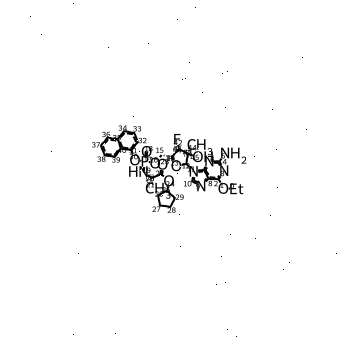 CCOc1nc(N)nc2c1ncn2C1O[C@H](COP(=O)(N[C@@H](C)C(=O)OC2CCCC2)Oc2cccc3ccccc23)[C@@H](F)[C@@]1(C)O